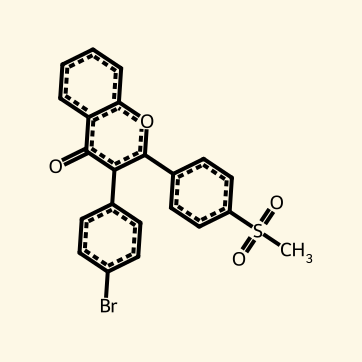 CS(=O)(=O)c1ccc(-c2oc3ccccc3c(=O)c2-c2ccc(Br)cc2)cc1